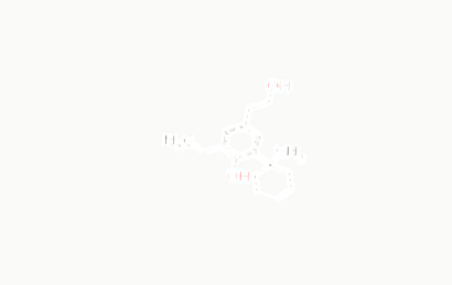 CCc1cc(CCO)cc(C2(C)CCCCC2)c1O